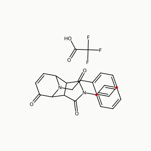 O=C(O)C(F)(F)F.O=C1C=CC2C3C(=O)N(c4ccccc4)C(=O)C3C1N2CCc1ccccc1